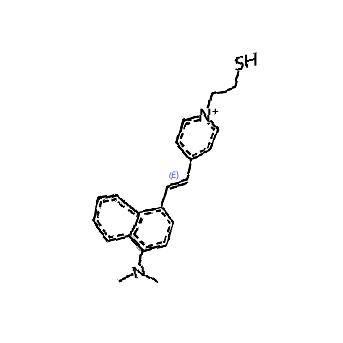 CN(C)c1ccc(/C=C/c2cc[n+](CCS)cc2)c2ccccc12